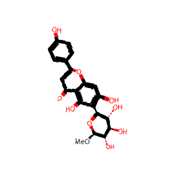 CO[C@H]1O[C@@H](c2c(O)cc3oc(-c4ccc(O)cc4)cc(=O)c3c2O)[C@H](O)[C@@H](O)[C@@H]1O